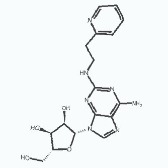 Nc1nc(NCCc2ccccn2)nc2c1ncn2[C@@H]1O[C@H](CO)[C@@H](O)[C@H]1O